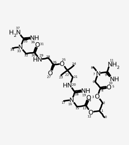 CC(COC(=O)CN(C)C(=N)N)OC(=O)CN(C)C(=N)NCC(C)(C)OC(=O)CNC(=O)CN(C)C(=N)N